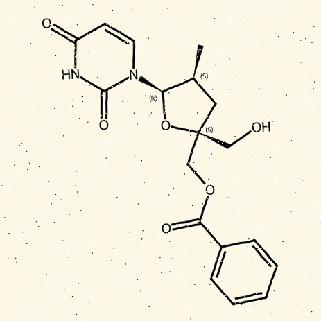 C[C@H]1C[C@](CO)(COC(=O)c2ccccc2)O[C@H]1n1ccc(=O)[nH]c1=O